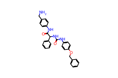 NCc1ccc(NC(=O)C(NC(=O)Nc2ccc(OCc3ccccc3)cc2)c2ccccc2)cc1